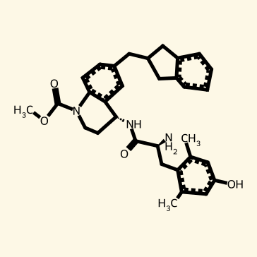 COC(=O)N1CC[C@@H](NC(=O)[C@@H](N)Cc2c(C)cc(O)cc2C)c2cc(CC3Cc4ccccc4C3)ccc21